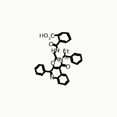 CC[C@H](NC(=O)c1c(OCCNC(=O)c2ccccc2C(=O)O)c(-c2ccccc2)nc2ccccc12)c1ccccc1